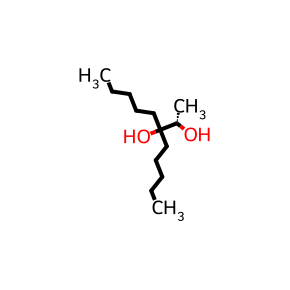 CCCCCC(O)(CCCCC)[C@H](C)O